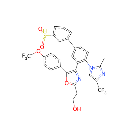 Cc1nc(C(F)(F)F)cn1-c1ccc(-c2cccc([SH](=O)=O)c2)cc1-c1nc(CCO)oc1-c1ccc(OC(F)(F)F)cc1